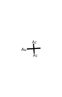 CC(=O)C(C)(C)C(C)=O.[Au+3]